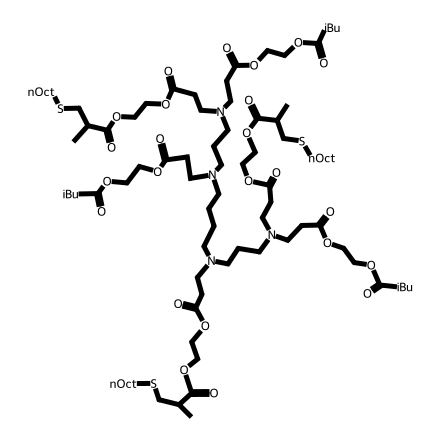 CCCCCCCCSCC(C)C(=O)OCCOC(=O)CCN(CCCCN(CCCN(CCC(=O)OCCOC(=O)C(C)CC)CCC(=O)OCCOC(=O)C(C)CSCCCCCCCC)CCC(=O)OCCOC(=O)C(C)CC)CCCN(CCC(=O)OCCOC(=O)C(C)CC)CCC(=O)OCCOC(=O)C(C)CSCCCCCCCC